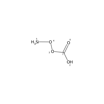 O=C(O)OO[SiH3]